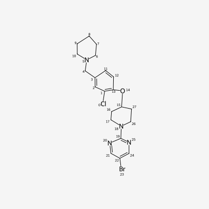 Clc1cc(CN2CCCCC2)ccc1OC1CCN(c2ncc(Br)cn2)CC1